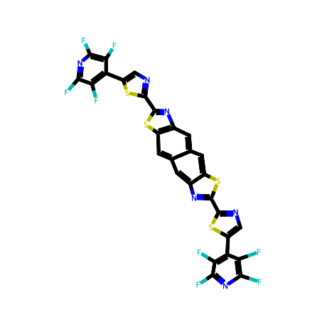 Fc1nc(F)c(F)c(-c2cnc(-c3nc4cc5cc6sc(-c7ncc(-c8c(F)c(F)nc(F)c8F)s7)nc6cc5cc4s3)s2)c1F